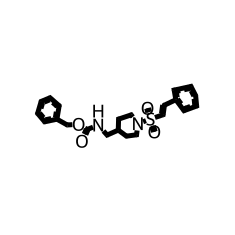 O=C(NCC1CCN(S(=O)(=O)C=Cc2ccccc2)CC1)OCc1ccccc1